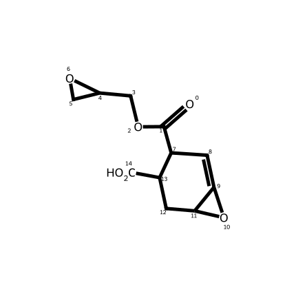 O=C(OCC1CO1)C1C=C2OC2CC1C(=O)O